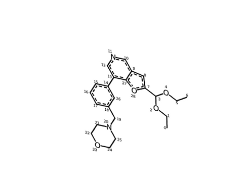 CCOC(OCC)c1cc2cncc(-c3cccc(CN4CCOCC4)c3)c2o1